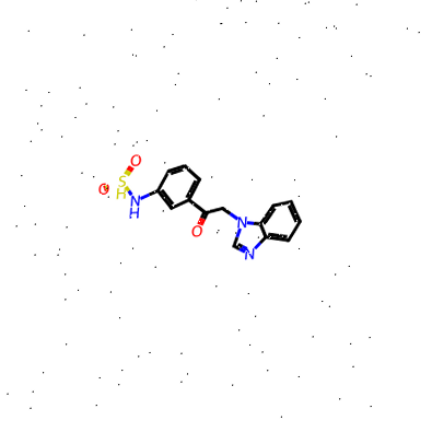 O=C(Cn1cnc2ccccc21)c1cccc(N[SH](=O)=O)c1